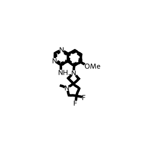 COc1ccc2ncnc(N)c2c1N1CC2(C1)CC(F)(F)CN2C